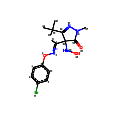 C/C(=N\Oc1ccc(Br)cc1)C1(NO)C(=O)N(C)N=C1C(C)(C)C